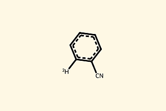 [2H]c1ccccc1C#N